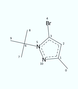 Cc1cc(Br)n(C(C)(C)C)n1